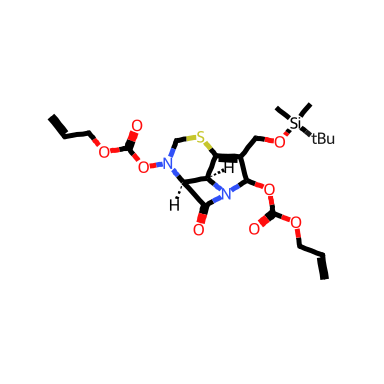 C=CCOC(=O)OC1C(CO[Si](C)(C)C(C)(C)C)=C2SCN(OC(=O)OCC=C)[C@@H]3C(=O)N1[C@H]23